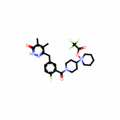 Cc1c(Cc2ccc(F)c(C(=O)N3CCC([N+]4(OC(=O)C(F)(F)F)CCCCC4)CC3)c2)n[nH]c(=O)c1C